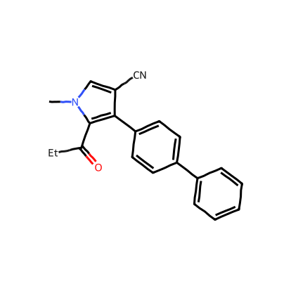 CCC(=O)c1c(-c2ccc(-c3ccccc3)cc2)c(C#N)cn1C